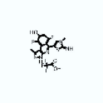 Cc1n[nH]c2nc(-c3cn(C)c(=N)s3)c3c(F)cc(O)c(F)c3c12.O=C(O)C(F)(F)F